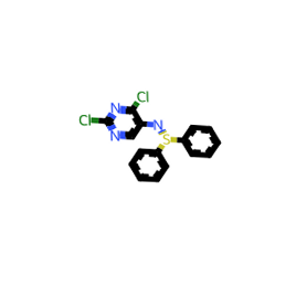 Clc1ncc(N=S(c2ccccc2)c2ccccc2)c(Cl)n1